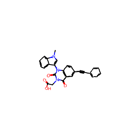 Cn1cc(-n2c(=O)n(CC(=O)O)c(=O)c3cc(C#Cc4ccccc4)ccc32)c2ccccc21